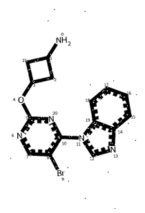 NC1CC(Oc2ncc(Br)c(-n3cnc4ccccc43)n2)C1